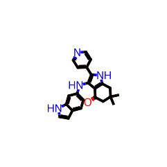 CC1(C)CC(=O)c2c([nH]c(-c3ccncc3)c2Nc2ccc3cc[nH]c3c2)C1